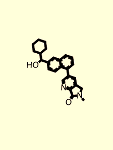 CN1Cc2cc(-c3cccc4cc(C(O)C5CCCCC5)ccc34)cnc2C1=O